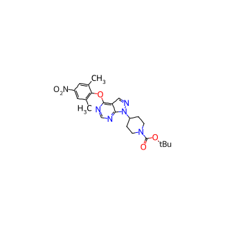 Cc1cc([N+](=O)[O-])cc(C)c1Oc1ncnc2c1cnn2C1CCN(C(=O)OC(C)(C)C)CC1